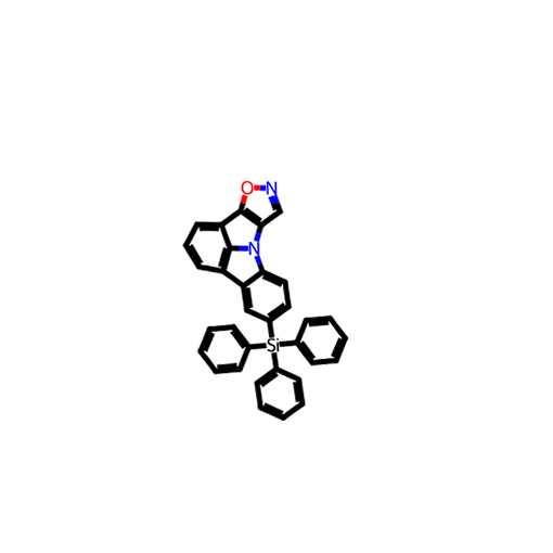 c1ccc([Si](c2ccccc2)(c2ccccc2)c2ccc3c(c2)c2cccc4c5oncc5n3c24)cc1